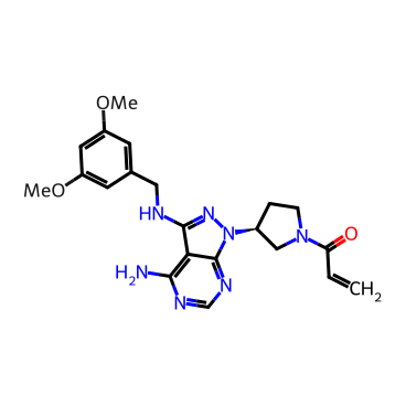 C=CC(=O)N1CC[C@H](n2nc(NCc3cc(OC)cc(OC)c3)c3c(N)ncnc32)C1